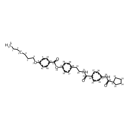 CCCCCCCOc1ccc(C(=O)Oc2ccc(CCNC(=O)c3ccc(NC(=O)C4CCCC4)cc3)cc2)cc1